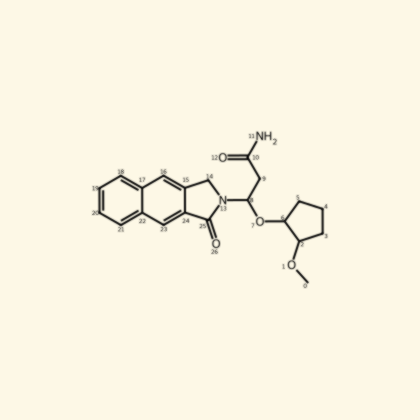 COC1CCCC1OC(CC(N)=O)N1Cc2cc3ccccc3cc2C1=O